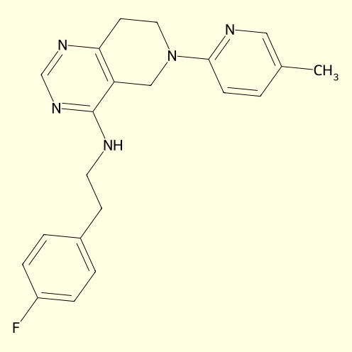 Cc1ccc(N2CCc3ncnc(NCCc4ccc(F)cc4)c3C2)nc1